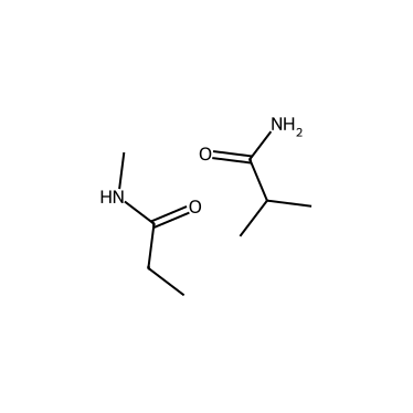 CC(C)C(N)=O.CCC(=O)NC